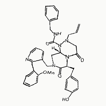 C=CCN1CC(=O)N2[C@@H](Cc3ccc(O)cc3)C(=O)N(Cc3cccnc3-c3ccccc3OC)C[C@@H]2N1C(=O)NCc1ccccc1